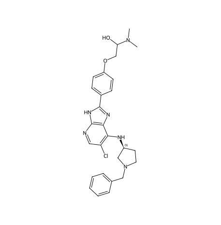 CN(C)C(O)COc1ccc(-c2nc3c(N[C@H]4CCN(Cc5ccccc5)C4)c(Cl)cnc3[nH]2)cc1